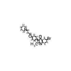 Cc1nc2ccc(Br)cc2c(=O)n1-c1ccc(OCCCN2CCCCC2)cc1